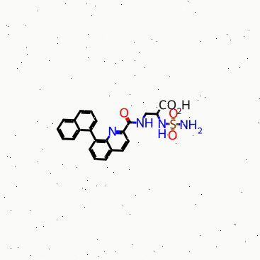 NS(=O)(=O)NC(CNC(=O)c1ccc2cccc(-c3cccc4ccccc34)c2n1)C(=O)O